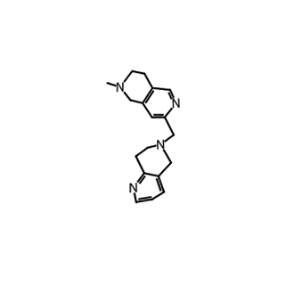 CN1CCc2cnc(CN3CCc4ncccc4C3)cc2C1